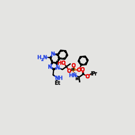 CCNCc1nc2c(N)nc3ccccc3c2n1CC(C)(O)O[P@@](=O)(N[C@H](C)C(=O)OC(C)C)Oc1ccccc1